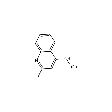 Cc1cc(NC(C)(C)C)c2ccccc2n1